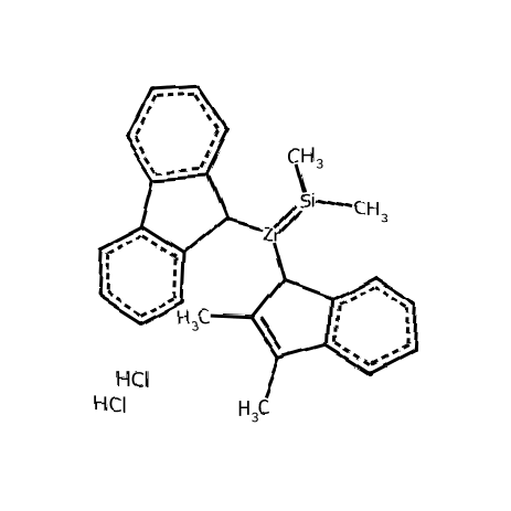 CC1=C(C)[CH]([Zr]([CH]2c3ccccc3-c3ccccc32)=[Si](C)C)c2ccccc21.Cl.Cl